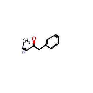 C/C=C\C(=O)Cc1ccccc1